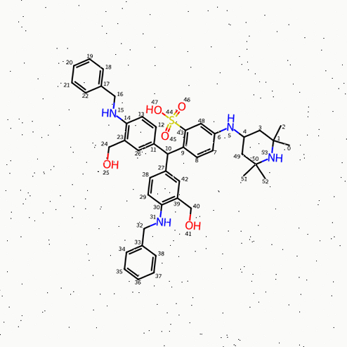 CC1(C)CC(Nc2ccc(C(c3ccc(NCc4ccccc4)c(CO)c3)c3ccc(NCc4ccccc4)c(CO)c3)c(S(=O)(=O)O)c2)CC(C)(C)N1